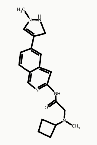 CN1C=C(c2ccc3cnc(NC(=O)CN(C)C4CCC4)cc3c2)CN1